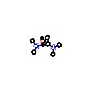 c1ccc(-c2nc(-c3ccccc3)nc(-c3ccc4c(c3)-c3ccccc3C43c4ccccc4Oc4c(-c5nc(-c6ccccc6)nc(-c6ccccc6)n5)cccc43)n2)cc1